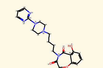 O=C1COc2cccc(O)c2C(=O)N1CCCCN1CCN(c2ncccn2)CC1